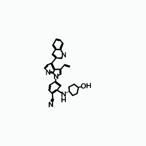 C=Cc1cn(-c2ccc(C#N)c(N[C@H]3CC[C@H](O)CC3)c2)c2nccc(-c3cnc4ccccc4c3)c12